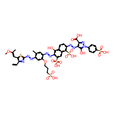 C=Cc1nc(N=Nc2cc(OCCCS(=O)(=O)O)c(N=Nc3c(S(=O)(=O)O)cc4c(S(=O)(=O)O)c(N=Nc5c(C(=O)O)nn(-c6ccc(S(=O)(=O)O)cc6)c5O)ccc4c3O)cc2C)sc1/C=C(\C)OC